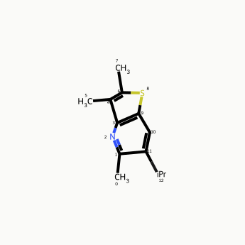 Cc1nc2c(C)c(C)sc2cc1C(C)C